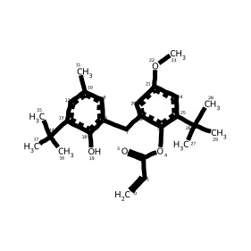 C=CC(=O)Oc1c(Cc2cc(C)cc(C(C)(C)C)c2O)cc(OC)cc1C(C)(C)C